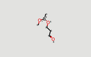 COB(C)OCCC=O